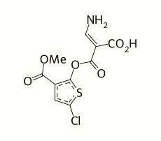 COC(=O)c1cc(Cl)sc1OC(=O)C(=CN)C(=O)O